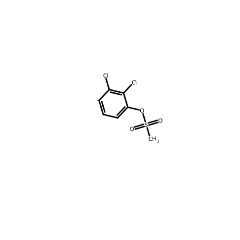 CS(=O)(=O)Oc1cc[c]c(Cl)c1Cl